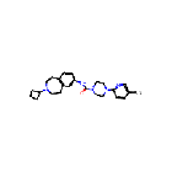 N#Cc1ccc(N2CCN(C(=O)Nc3ccc4c(c3)CCN(C3CCC3)CC4)CC2)nc1